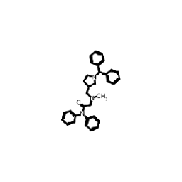 CN(CC(=O)N(c1ccccc1)c1ccccc1)CC1CCN(C(c2ccccc2)c2ccccc2)C1